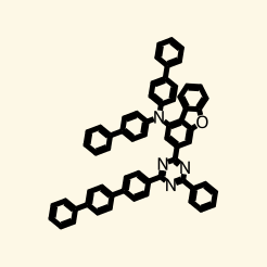 c1ccc(-c2ccc(-c3ccc(-c4nc(-c5ccccc5)nc(-c5cc(N(c6ccc(-c7ccccc7)cc6)c6ccc(-c7ccccc7)cc6)c6c(c5)oc5ccccc56)n4)cc3)cc2)cc1